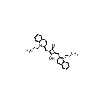 CCCN1/C(=C/C2=C(O)C(=C\c3ccc4ccccc4[n+]3CCC)/C2=O)C=Cc2ccccc21